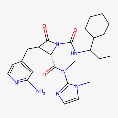 CCC(NC(=O)N1C(=O)C(Cc2ccnc(N)c2)[C@H]1C(=O)N(C)c1nccn1C)C1CCCCC1